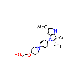 COc1cnc2c(C(C)=O)c(C)n(-c3ccc(N4CCC(OCCO)CC4)cc3)c2c1